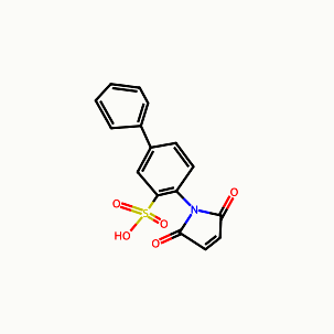 O=C1C=CC(=O)N1c1ccc(-c2ccccc2)cc1S(=O)(=O)O